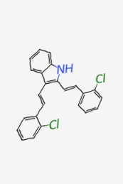 Clc1ccccc1/C=C/c1[nH]c2ccccc2c1/C=C/c1ccccc1Cl